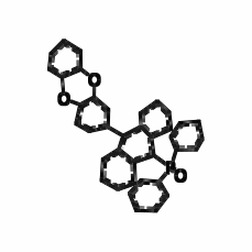 O=P(c1ccccc1)(c1ccccc1)c1c2ccccc2c(-c2ccc3c(c2)Oc2ccccc2O3)c2ccccc12